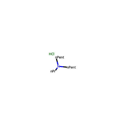 CCCCCN(CCC)CCCCC.Cl